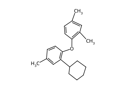 Cc1ccc(Oc2ccc(C)cc2C2CCCCC2)c(C)c1